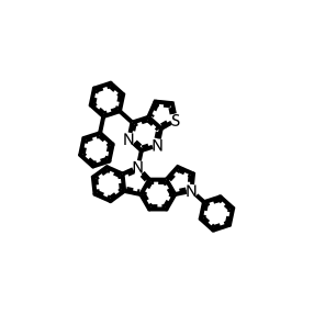 c1ccc(-c2ccccc2-c2nc(-n3c4ccccc4c4ccc5c(ccn5-c5ccccc5)c43)nc3sccc23)cc1